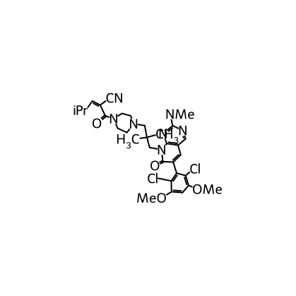 CNc1ncc2cc(-c3c(Cl)c(OC)cc(OC)c3Cl)c(=O)n(CC(C)(C)CN3CCN(C(=O)/C(C#N)=C\C(C)C)CC3)c2n1